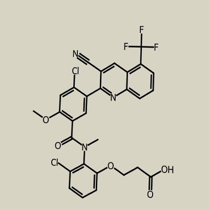 COc1cc(Cl)c(-c2nc3cccc(C(F)(F)F)c3cc2C#N)cc1C(=O)N(C)c1c(Cl)cccc1OCCC(=O)O